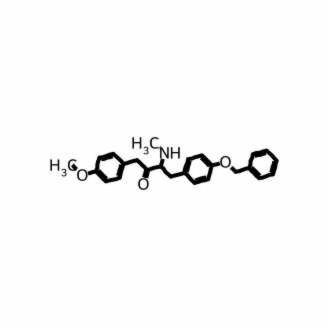 CNC(Cc1ccc(OCc2ccccc2)cc1)C(=O)Cc1ccc(OC)cc1